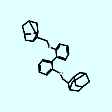 c1ccc(-c2ccccc2PCC2C3CC4CC(C3)CC2C4)c(PCC2C3CC4CC(C3)CC2C4)c1